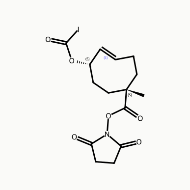 C[C@]1(C(=O)ON2C(=O)CCC2=O)CC/C=C/[C@@H](OC(=O)I)CC1